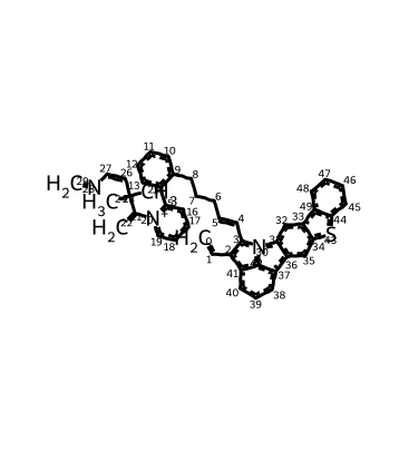 C=Cc1c(/C=C/CCCc2ccccc2-c2cccc[n+]2C(=C)C(C)(C)/C=C\N=C)n2c3cc4c(cc3c3cccc1c32)sc1ccccc14